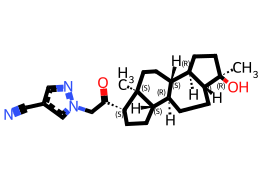 C[C@]12CC[C@@H]3[C@H]4CC[C@@](C)(O)[C@@H]4CC[C@H]3[C@@H]1CC[C@@H]2C(=O)Cn1cc(C#N)cn1